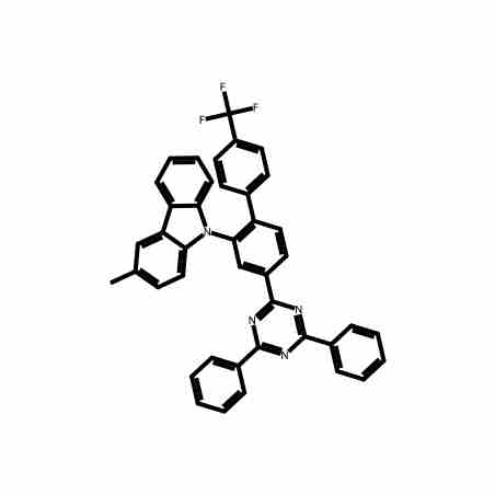 Cc1ccc2c(c1)c1ccccc1n2-c1cc(-c2nc(-c3ccccc3)nc(-c3ccccc3)n2)ccc1-c1ccc(C(F)(F)F)cc1